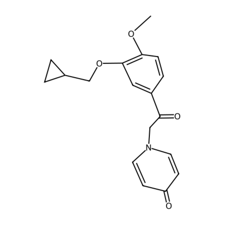 COc1ccc(C(=O)Cn2ccc(=O)cc2)cc1OCC1CC1